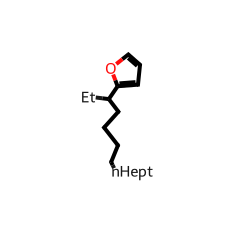 CCCCCCCCCCCC(CC)c1ccco1